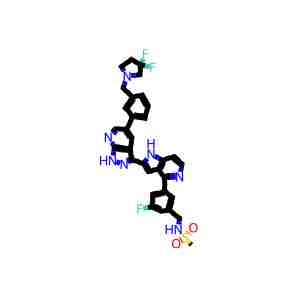 CS(=O)(=O)NCc1cc(F)cc(-c2nccc3[nH]c(-c4n[nH]c5ncc(-c6cccc(CN7CCC(F)(F)C7)c6)cc45)cc23)c1